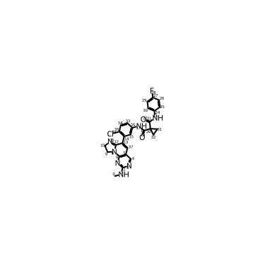 CNc1ncc2c(n1)N1CCN=C1C(c1cc(NC(=O)C3(C(=O)Nc4ccc(F)cc4)CC3)ccc1Cl)=C2